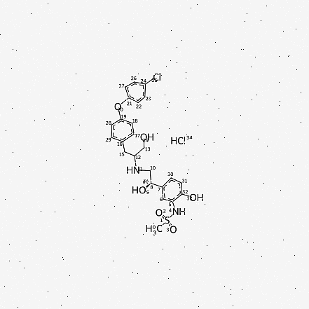 CS(=O)(=O)Nc1cc([C@@H](O)CNC(CO)Cc2ccc(Oc3ccc(Cl)cc3)cc2)ccc1O.Cl